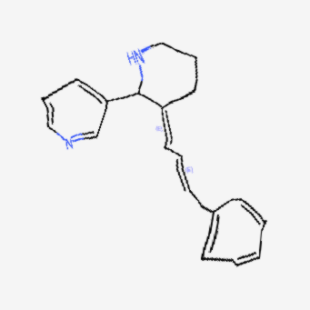 C(=C\c1ccccc1)/C=C1\CCCNC1c1cccnc1